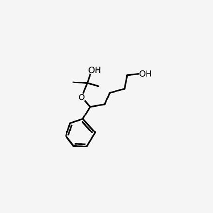 CC(C)(O)OC(CCCCO)c1ccccc1